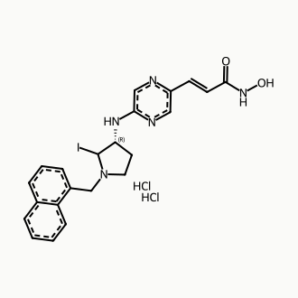 Cl.Cl.O=C(C=Cc1cnc(N[C@@H]2CCN(Cc3cccc4ccccc34)C2I)cn1)NO